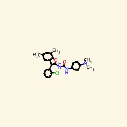 Cc1cc(C)c2oc(NC(=O)Nc3ccc(N(C)C)cc3)c(-c3ccccc3Cl)c2c1